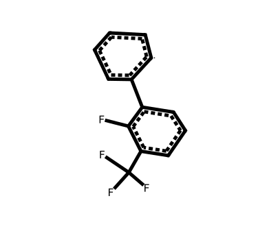 Fc1c(-c2[c]cccc2)cccc1C(F)(F)F